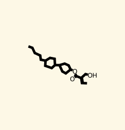 C/C=C(\CO)C(=O)OC1CCC(C2CCC(CCCCC)CC2)CC1